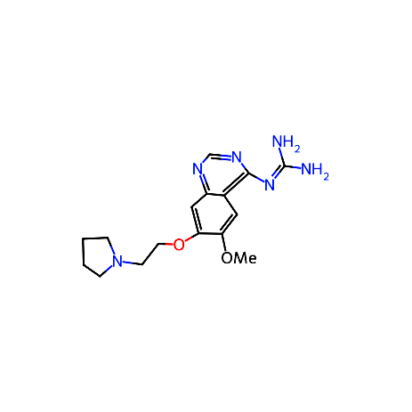 COc1cc2c(N=C(N)N)ncnc2cc1OCCN1CCCC1